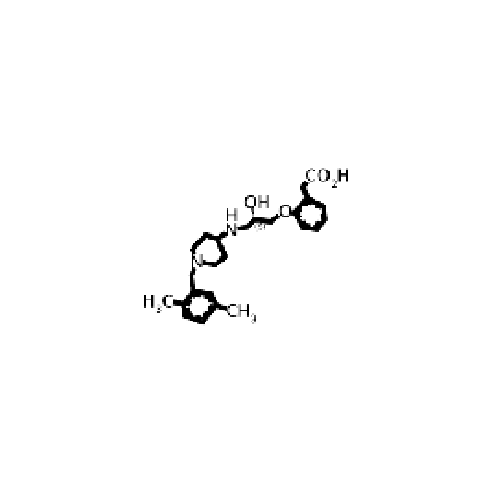 Cc1ccc(C)c(CN2CCC(NC[C@H](O)COc3ccccc3CC(=O)O)CC2)c1